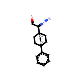 [N-]=[N+]=C(C=O)C12CCC(c3ccccc3)(CC1)CC2